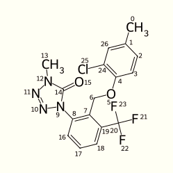 Cc1ccc(OCc2c(-n3nnn(C)c3=O)cccc2C(F)(F)F)c(Cl)c1